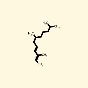 C/C=C(\C)C=CCC(C)CCCC(C)C